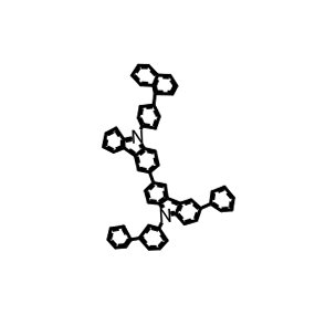 c1ccc(-c2cccc(-n3c4ccc(-c5ccccc5)cc4c4cc(-c5ccc6c(c5)c5ccccc5n6-c5ccc(-c6cccc7ccccc67)cc5)ccc43)c2)cc1